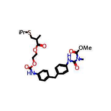 COC(=O)N(C)C(=O)Nc1ccc(Cc2ccc(NC(=O)OCCOC(=O)C(C)CSC(C)C)cc2)cc1